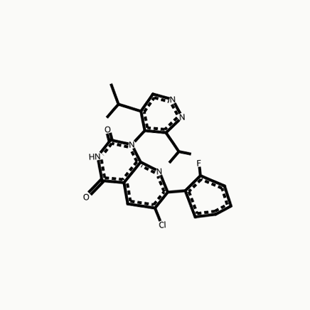 CC(C)c1cnnc(C(C)C)c1-n1c(=O)[nH]c(=O)c2cc(Cl)c(-c3ccccc3F)nc21